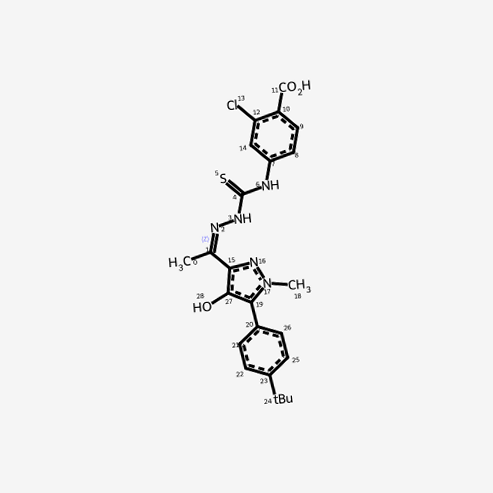 C/C(=N/NC(=S)Nc1ccc(C(=O)O)c(Cl)c1)c1nn(C)c(-c2ccc(C(C)(C)C)cc2)c1O